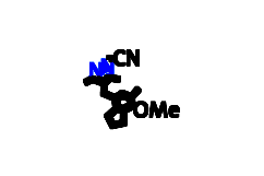 COc1c(C)cc(Cc2c(C)nn(CC#N)c2C)c2c1CCC2